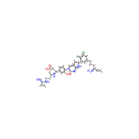 CC(=N)NCCC1CS(=O)(=O)CC(c2ccc(N3C=c4cc(-c5cc(CCCC(C)N)cc(Cl)c5F)[nH]c4=NC3O)cc2)N1